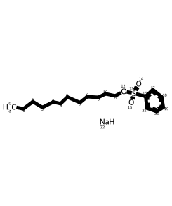 CCCCCCCCCCCCOS(=O)(=O)c1ccccc1.[NaH]